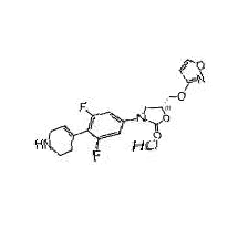 Cl.O=C1O[C@@H](COc2ccon2)CN1c1cc(F)c(C2=CCNCC2)c(F)c1